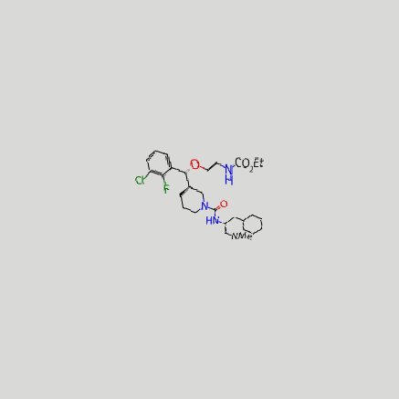 CCOC(=O)NCCO[C@@H](c1cccc(Cl)c1F)[C@@H]1CCCN(C(=O)N[C@H](CNC)CC2CCCCC2)C1